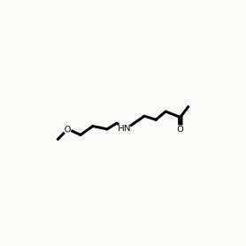 COCCCCNCCCC(C)=O